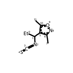 CCC(N=C=S)c1c(C)noc1C